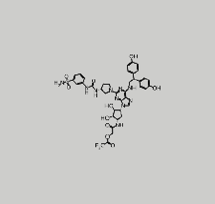 NS(=O)(=O)c1cccc(NC(=O)N[C@@H]2CCN(c3nc(NCC(c4ccc(O)cc4)c4ccc(O)cc4)c4ncn([C@@H]5C[C@H](NC(=O)COC(=O)C(F)(F)F)[C@@H](O)[C@H]5O)c4n3)C2)c1